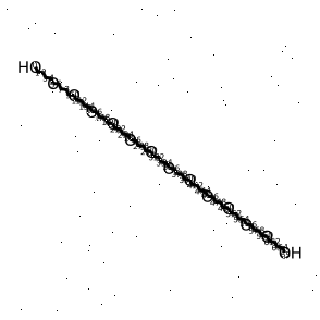 OCCCCOCCCCOCCCCOCCCCOCCCCOCCCCOCCCCOCCCCOCCCCOCCCCOCCCCOCCCCOCCCCO